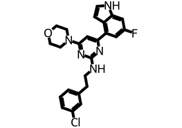 Fc1cc(-c2cc(N3CCOCC3)nc(NCCc3cccc(Cl)c3)n2)c2cc[nH]c2c1